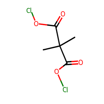 CC(C)(C(=O)OCl)C(=O)OCl